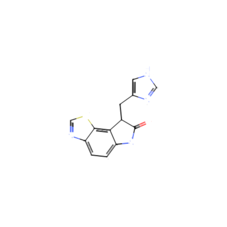 O=C1Nc2ccc3ncsc3c2C1Cc1c[nH]cn1